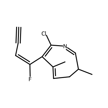 C#C\C=C(F)/C1=C(Cl)/N=C\C(C)C\C=C\1C